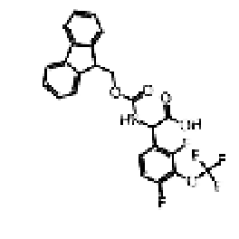 O=C(NC(C(=O)O)c1ccc(F)c(OC(F)(F)F)c1F)OCC1c2ccccc2-c2ccccc21